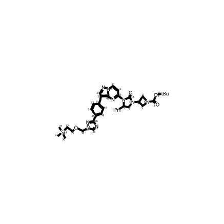 CC(C)C1CN(C2CN(C(=O)OC(C)(C)C)C2)C(=O)N1c1ccn2ncc(-c3ccc(-c4ncn(COCC[Si](C)(C)C)n4)cc3)c2n1